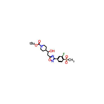 CC(C)(C)OC(=O)N1CCC(C(O)Cc2nc(-c3ccc(S(C)(=O)=O)c(F)c3)no2)CC1